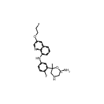 CC1(c2cc(Nc3cccc4cc(OCCF)cnc34)ccc2F)CNC[C@H](N)O1